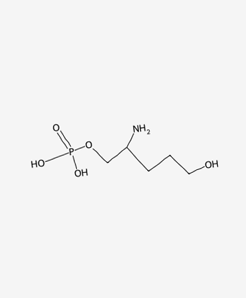 NC(CCCO)COP(=O)(O)O